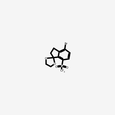 O=S(=O)(c1ccc(Br)c2c1C1(CC2)OCCO1)C(F)(F)F